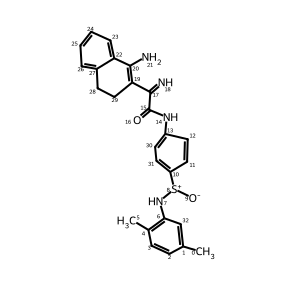 Cc1ccc(C)c(N[S+]([O-])c2ccc(NC(=O)C(=N)C3=C(N)c4ccccc4CC3)cc2)c1